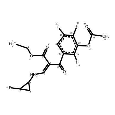 CCOC(=O)C(=CNC1CC1F)C(=O)c1cc(F)c(F)c(OC(C)=O)c1F